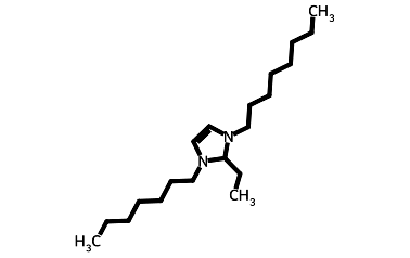 CCCCCCCCN1C=CN(CCCCCCC)C1CC